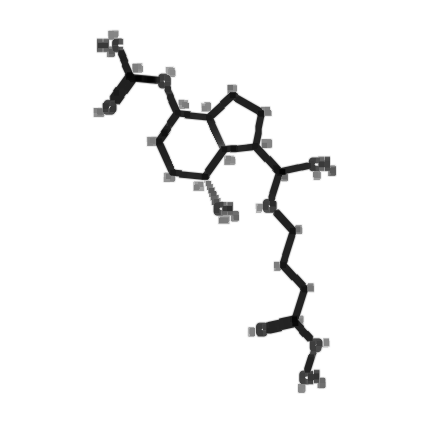 COC(=O)CCCOC(C)C1CCC2C(OC(C)=O)CC[C@@H](C)C12